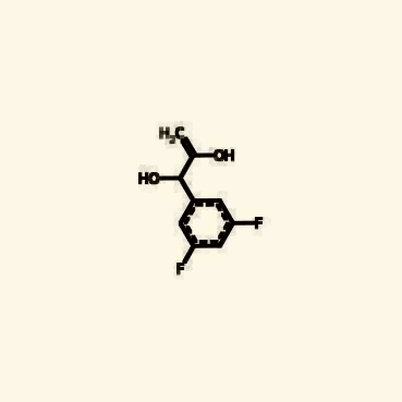 C=C(O)C(O)c1cc(F)cc(F)c1